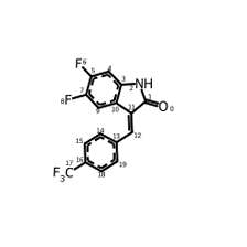 O=C1Nc2cc(F)c(F)cc2/C1=C\c1ccc(C(F)(F)F)cc1